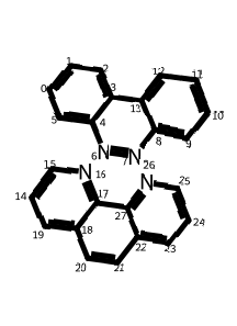 c1ccc2c(c1)nnc1ccccc12.c1cnc2c(c1)ccc1cccnc12